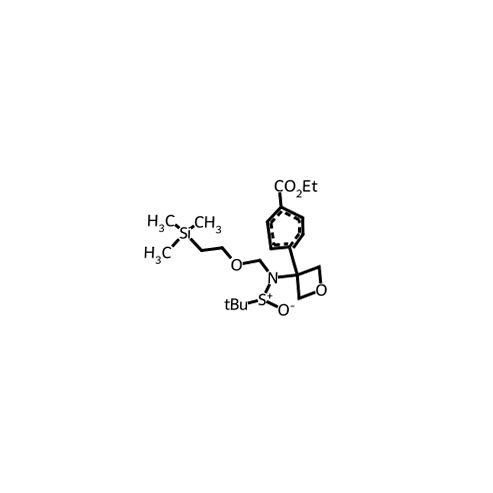 CCOC(=O)c1ccc(C2(N(COCC[Si](C)(C)C)[S+]([O-])C(C)(C)C)COC2)cc1